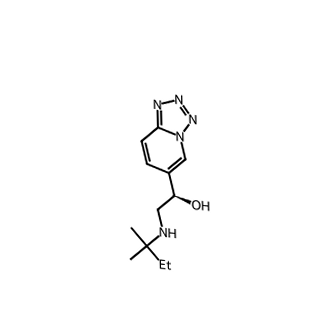 CCC(C)(C)NC[C@H](O)c1ccc2nnnn2c1